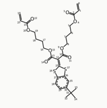 C=CC(=O)OCCCCOC(=O)C(C(=O)OCCCCOC(=O)C=C)=C1Sc2ccc(C(C)(C)C)cc2S1